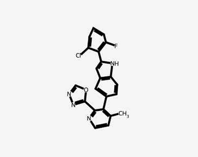 Cc1ccnc(-c2nnco2)c1-c1ccc2[nH]c(-c3c(F)cccc3Cl)cc2c1